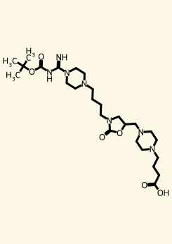 CC(C)(C)OC(=O)NC(=N)N1CCN(CCCCN2CC(CN3CCN(CCCC(=O)O)CC3)OC2=O)CC1